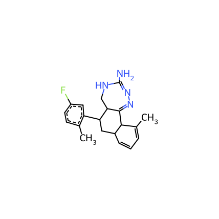 CC1=CC=CC2CC(c3cc(F)ccc3C)C3CNC(N)=NN=C3C12